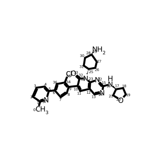 Cc1cccc(-c2ccc(-c3cc4cnc(N[C@H]5CCOC5)nc4n([C@H]4CC[C@@H](N)CC4)c3=O)c(Cl)c2)n1